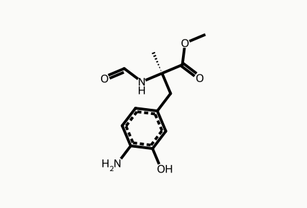 COC(=O)[C@@](C)(Cc1ccc(N)c(O)c1)NC=O